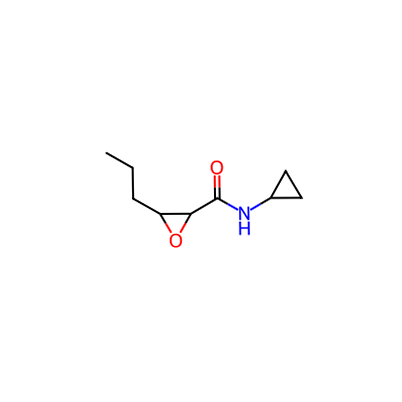 CCCC1OC1C(=O)NC1CC1